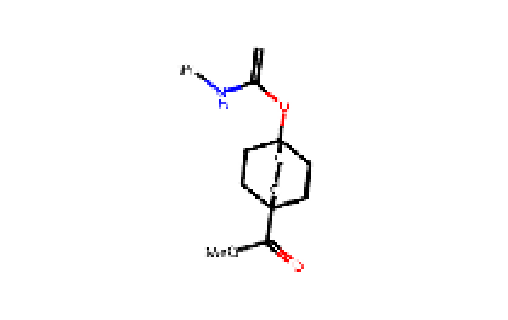 C=C(NC(C)C)OC12CCC(C(=O)OC)(CC1)CC2